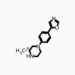 C[C@@H]1CN(c2ccc(-c3cnco3)cc2)CCN1